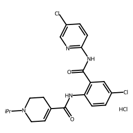 CC(C)N1CC=C(C(=O)Nc2ccc(Cl)cc2C(=O)Nc2ccc(Cl)cn2)CC1.Cl